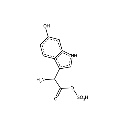 NC(C(=O)OS(=O)(=O)O)c1c[nH]c2cc(O)ccc12